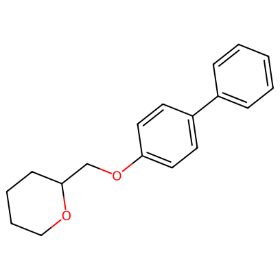 c1ccc(-c2ccc(OCC3CCCCO3)cc2)cc1